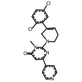 Cn1c(N2CCC=C(c3cc(Cl)ccc3Cl)C2)nc(-c2ccncc2)cc1=O